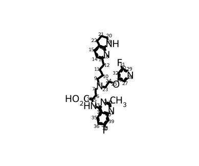 Cc1nc(NC(CCN(CCCCc2ccc3c(n2)NCCC3)CCOc2cncc(F)c2)C(=O)O)c2ccc(F)cc2n1